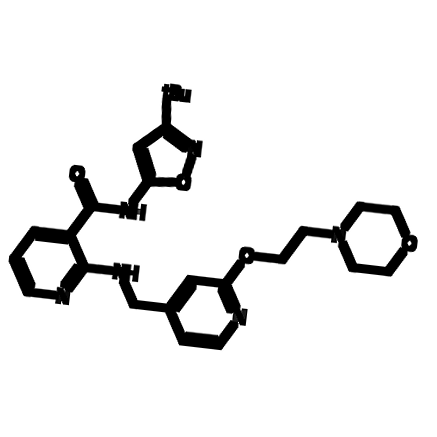 CC(C)(C)c1cc(NC(=O)c2cccnc2NCc2ccnc(OCCN3CCOCC3)c2)on1